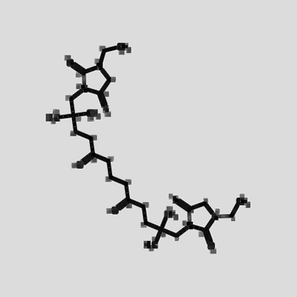 CCN1CC(=S)N(CC(C)(C)CCC(=O)CCCC(=O)CCC(C)(C)CN2C(=O)N(CC)CC2=S)C1=O